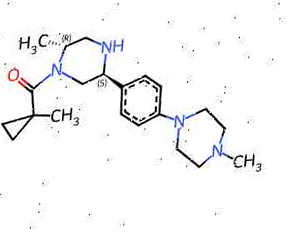 C[C@@H]1CN[C@@H](c2ccc(N3CCN(C)CC3)cc2)CN1C(=O)C1(C)CC1